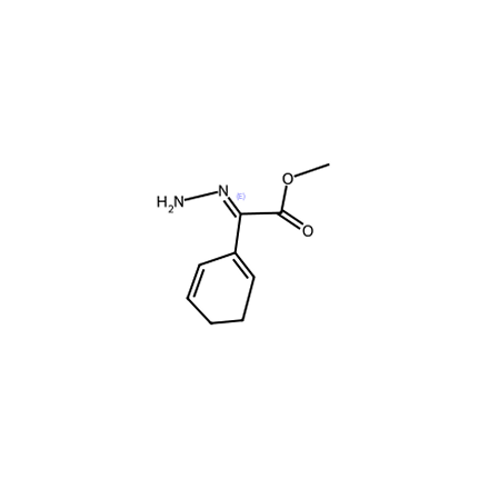 COC(=O)/C(=N/N)C1=CCCC=C1